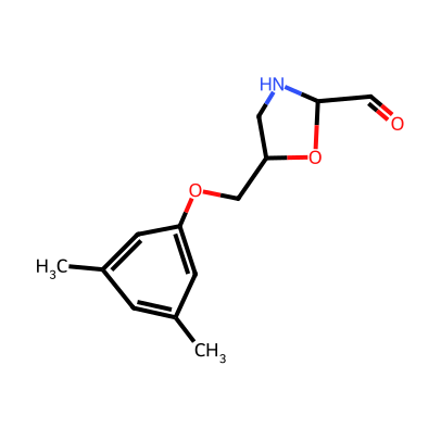 Cc1cc(C)cc(OCC2CNC(C=O)O2)c1